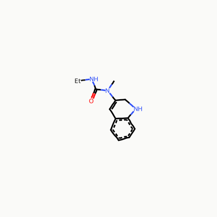 CCNC(=O)N(C)C1=Cc2ccccc2NC1